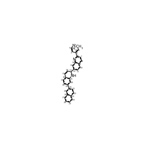 C/C=C(\C=C/N)c1ccc2ccc(C3C=Cc4ccc(-c5ccc6ccccc6c5)cc4N3)cc2n1